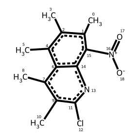 Cc1c(C)c(C)c2c(C)c(C)c(Cl)nc2c1[N+](=O)[O-]